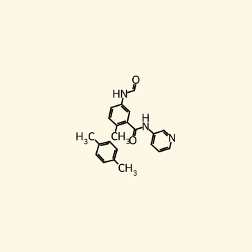 Cc1ccc(C)cc1.Cc1ccc(NC=O)cc1C(=O)Nc1cccnc1